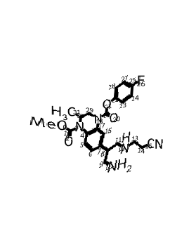 COC(=O)N1c2ccc(C(CN)CNCCC#N)cc2N(C(=O)Oc2ccc(F)cc2)C[C@@H]1C